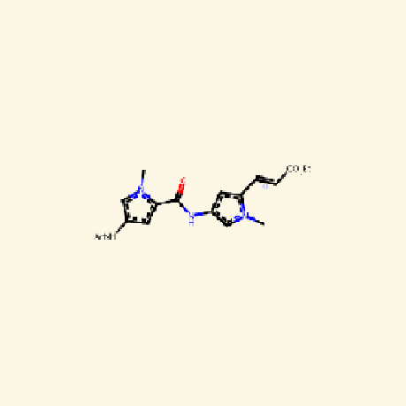 CCOC(=O)/C=C/c1cc(NC(=O)c2cc(NC(C)=O)cn2C)cn1C